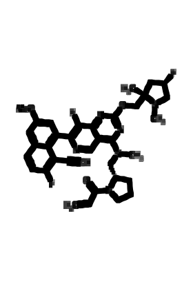 C#Cc1c(F)ccc2cc(OC)cc(-c3ncc4c(N(C)C[C@@H]5CCCN5C(=O)C=C)nc(OC[C@]5(C)C[C@@H](F)CN5C)nc4c3F)c12